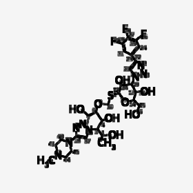 C[C@H](O)C(C(O)[C@@H](CO)OCSC1OC(CO)C(O)C(n2cc(-c3cc(F)c(F)c(F)c3)nn2)C1O)n1cc(N2CCN(C)CC2)nn1